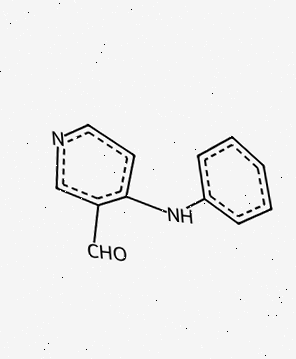 O=Cc1cnccc1Nc1ccccc1